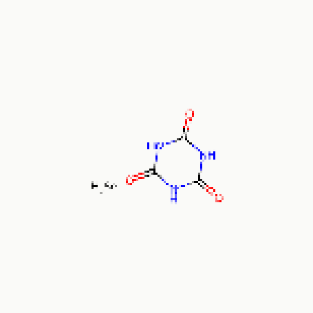 O=c1[nH]c(=O)[nH]c(=O)[nH]1.[SeH2]